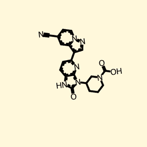 N#Cc1ccn2ncc(-c3ccc4[nH]c(=O)n(C5CCCN(C(=O)O)C5)c4n3)c2c1